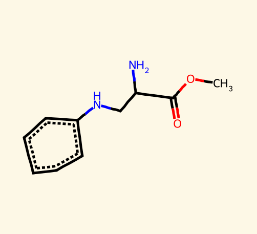 COC(=O)C(N)CNc1ccccc1